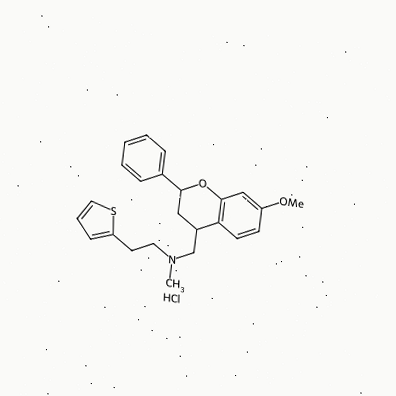 COc1ccc2c(c1)OC(c1ccccc1)CC2CN(C)CCc1cccs1.Cl